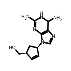 NC1=Nc2c(ncn2[C@H]2C=C[C@@H](CO)C2)C(N)N1